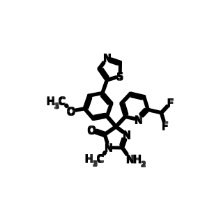 COc1cc(-c2cncs2)cc(C2(c3cccc(C(F)F)n3)N=C(N)N(C)C2=O)c1